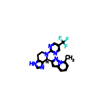 Cc1cccc2cc([C@H]3c4nc[nH]c4CCN3c3ncc(C(F)(F)F)cn3)nn12